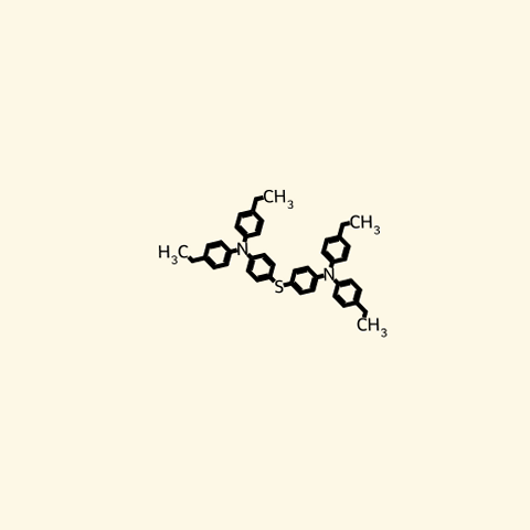 CCc1ccc(N(c2ccc(CC)cc2)c2ccc(Sc3ccc(N(c4ccc(CC)cc4)c4ccc(CC)cc4)cc3)cc2)cc1